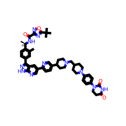 Cc1cc(-c2n[nH]c3ncc(-c4ccc(C5CCN(CC6CCN(c7ccc(N8CCC(=O)NC8=O)cc7)CC6)CC5)cn4)cc23)ccc1[C@@H](C)NC(=O)c1noc(C(C)(C)C)n1